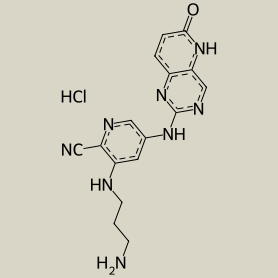 Cl.N#Cc1ncc(Nc2ncc3[nH]c(=O)ccc3n2)cc1NCCCN